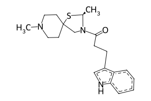 C[C@@H]1SC2(CCN(C)CC2)CN1C(=O)CCc1c[nH]c2ccccc12